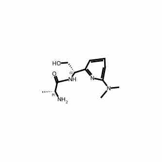 C[C@@H](N)C(=O)N[C@H](CO)c1cccc(N(C)C)n1